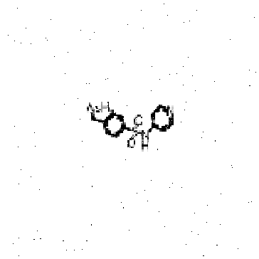 O=S(=O)(Nc1ccncc1)c1ccc(C[AsH2])cc1